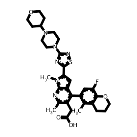 Cc1nc2c(cc(-c3nc(N4CCN(C5CCOCC5)CC4)ns3)n2C)c(-c2cc(F)c3c(c2C)CCCO3)c1CC(=O)O